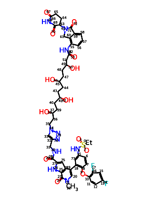 CCS(=O)(=O)Nc1ccc(Oc2ccc(F)cc2F)c(-c2cn(C)c(=O)c3[nH]c(C(=O)NCc4cn(CCC(O)CCC(O)CCC(O)CCC(O)CC(=O)Nc5cccc6c5CN(C5CCC(=O)NC5=O)C6=O)nn4)cc23)c1